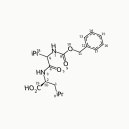 CC(C)C[C@H](NC(=O)C(NC(=O)OCc1ccccc1)C(C)C)C(=O)O